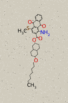 CCCCCCCCOC1CCC2CC(OC(=O)c3cc(SC)c4c(c3N)C(=O)c3ccccc3C4=O)CCC2C1